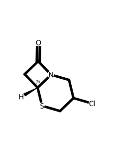 O=C1C[C@H]2SCC(Cl)CN12